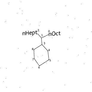 [CH2]CCCCCCCC(CCCCCCC)C1CCCCC1